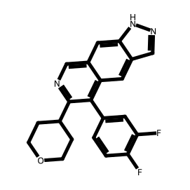 Fc1ccc(-c2c(C3CCOCC3)ncc3cc4[nH]ncc4cc23)cc1F